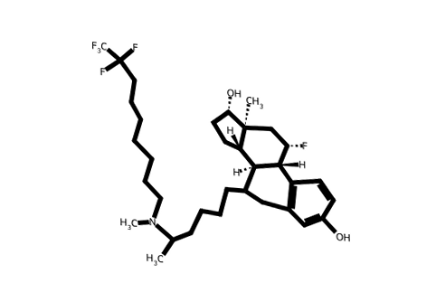 CC(CCCCC1Cc2cc(O)ccc2[C@@H]2[C@@H]1[C@@H]1CC[C@H](O)[C@@]1(C)C[C@@H]2F)N(C)CCCCCCCC(F)(F)C(F)(F)F